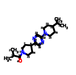 CC(C)C(=O)N1CCC(c2cnc(N3CCC(C(C)C)CC3)cn2)CC1